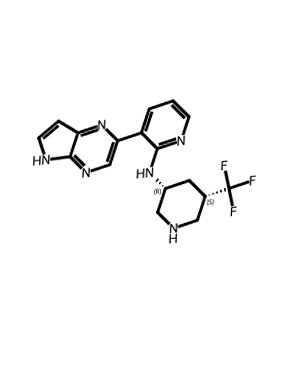 FC(F)(F)[C@@H]1CNC[C@H](Nc2ncccc2-c2cnc3[nH]ccc3n2)C1